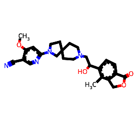 COc1cc(N2CCC3(CCN(CC(O)c4ccc5c(c4C)COC5=O)CC3)C2)ncc1C#N